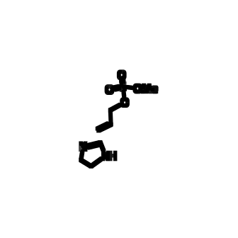 C1=NCCN1.C=CCOS(=O)(=O)OC